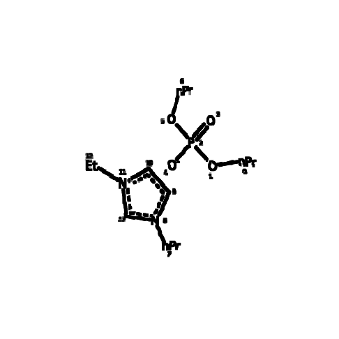 CCCOP(=O)([O-])OCCC.CCCn1cc[n+](CC)c1